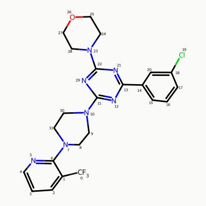 FC(F)(F)c1cccnc1N1CCN(c2nc(-c3cccc(Cl)c3)nc(N3CCOCC3)n2)CC1